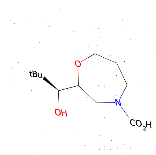 CC(C)(C)[C@H](O)C1CN(C(=O)O)CCCO1